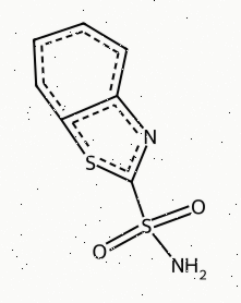 NS(=O)(=O)c1nc2ccccc2s1